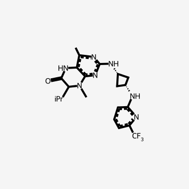 Cc1nc(N[C@H]2C[C@@H](Nc3cccc(C(F)(F)F)n3)C2)nc2c1NC(=O)C(C(C)C)N2C